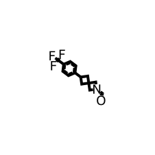 O=CN1CC2(CC(c3ccc(C(F)(F)F)cc3)C2)C1